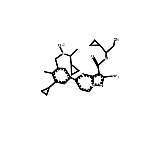 Cc1c(CN(C=O)C(C)C2CC2)cc(-c2ccn3nc(N)c(C(=O)NC(CO)C4CC4)c3n2)cc1C1CC1